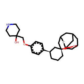 OC1(COc2ccc([C@@H]3CCC[C@]4(CC5CC6CC(C5)CC(C6)OO4)C3)cc2)CCNCC1